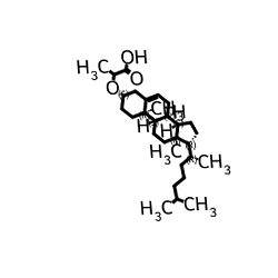 CC(C)CCC[C@@H](C)[C@H]1CC[C@H]2[C@@H]3CC=C4C[C@@H](OC(C)C(=O)O)CC[C@]4(C)[C@H]3CC[C@]12C